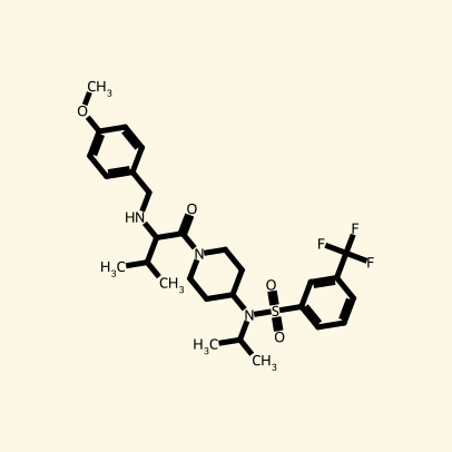 COc1ccc(CNC(C(=O)N2CCC(N(C(C)C)S(=O)(=O)c3cccc(C(F)(F)F)c3)CC2)C(C)C)cc1